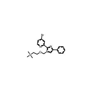 C[Si](C)(C)CCOCn1cc(-c2ccccc2)nc1-c1cc(Br)ccn1